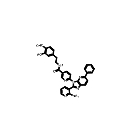 Nc1ncccc1-c1nc2ccc(-c3ccccc3)nc2n1-c1ccc(C(=O)NCCc2ccc(C=O)c(O)c2)cn1